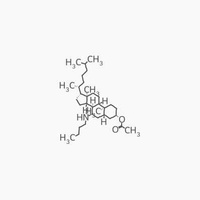 CCCCN[C@@H]1C[C@H]2C[C@@H](OC(C)=O)CC[C@]2(C)[C@H]2CC[C@]3(C)[C@@H]([C@H](C)CCCC(C)C)CC[C@H]3[C@H]12